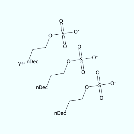 CCCCCCCCCCCCOS(=O)(=O)[O-].CCCCCCCCCCCCOS(=O)(=O)[O-].CCCCCCCCCCCCOS(=O)(=O)[O-].[Y+3]